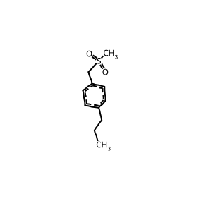 CCCc1ccc(CS(C)(=O)=O)cc1